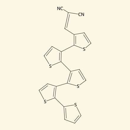 N#CC(C#N)=Cc1ccsc1-c1ccsc1-c1ccsc1-c1ccsc1-c1cccs1